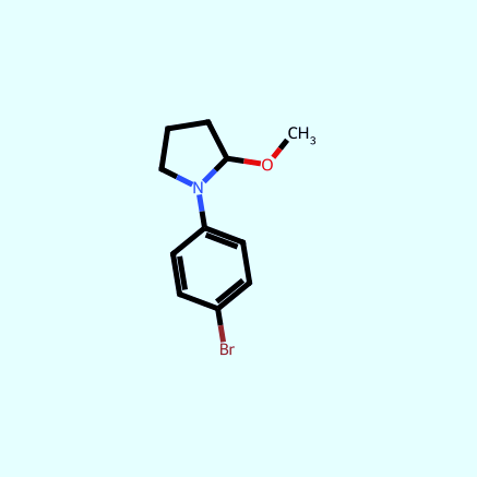 COC1CCCN1c1ccc(Br)cc1